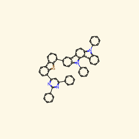 c1ccc(-c2cc(-c3cccc4c3sc3c(-c5ccc6c(c5)c5ccc7c(c8ccccc8n7-c7ccccc7)c5n6-c5ccccc5)cccc34)nc(-c3ccccc3)n2)cc1